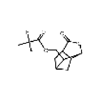 CC(F)(F)C(=O)OCC1C2CC3C(=O)OC1C3C2